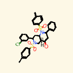 Cc1ccc(S(=O)(=O)N2C[C@H]3C(=O)CC(c4ccccc4)N(S(=O)(=O)c4ccc(C)cc4)C3CC2c2cccc(Cl)c2)cc1